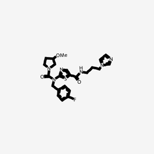 COC1CCN(C(=O)N(Cc2ccc(F)cc2)c2ncc(C(=O)NCCCn3ccnc3)s2)C1